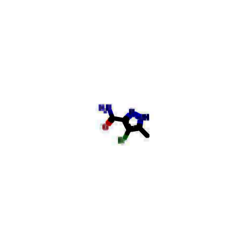 Cc1[nH]nc(C(N)=O)c1Br